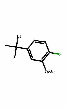 CCC(C)(C)c1ccc(F)c(OC)c1